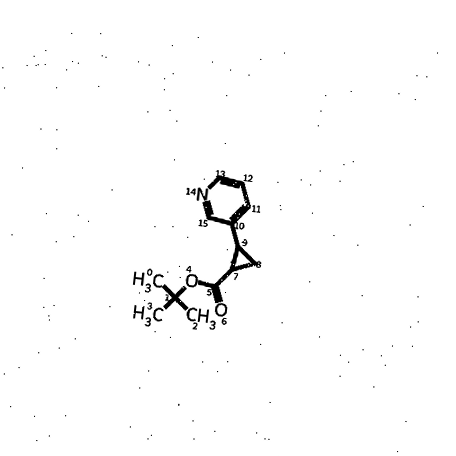 CC(C)(C)OC(=O)C1CC1c1cccnc1